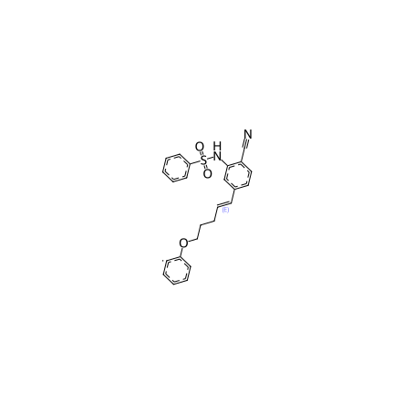 N#Cc1ccc(/C=C/CCCOc2[c]cccc2)cc1NS(=O)(=O)c1ccccc1